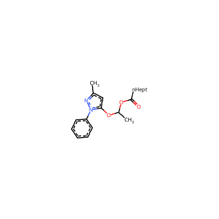 CCCCCCCC(=O)OC(C)Oc1cc(C)nn1-c1ccccc1